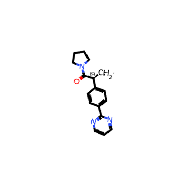 [CH2][C@H](C(=O)N1CCCC1)c1ccc(-c2ncccn2)cc1